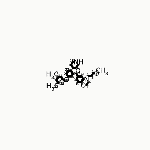 COCCCN1CCOc2ccc(COC3CNCC[C@@H]3c3ccc(Oc4cc(C)cc(C)n4)cc3)cc21